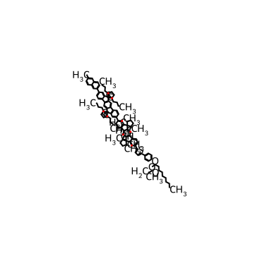 C=C(C)C(=O)OC(CCCCCCCCC)Oc1ccc(-c2ccc(-c3ccc4c(c3)C3(c5cc6c(cc5-4)C4(c5cc(-c7ccc8c(c7)C7(c9cc%10c(cc9-8)C8(c9cc(-c%11ccc%12cc(C)ccc%12c%11)ccc9-%10)C9(CCCC)CCC8(CCCC)CC9)C8(CCCC)CCC7(CCCC)CC8)ccc5-6)C(C)(C)CCC4(C)C)C(C)(C)CCC3(C)C)s2)cc1